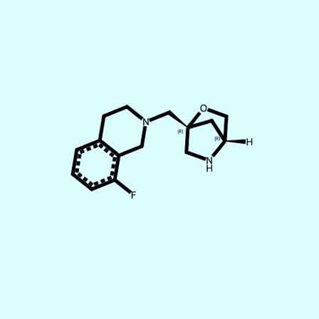 Fc1cccc2c1CN(C[C@@]13CN[C@@H](CO1)C3)CC2